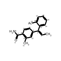 C/C=C(/c1ccc(C(N)=O)c(C)c1)c1ccccc1C(C)=O